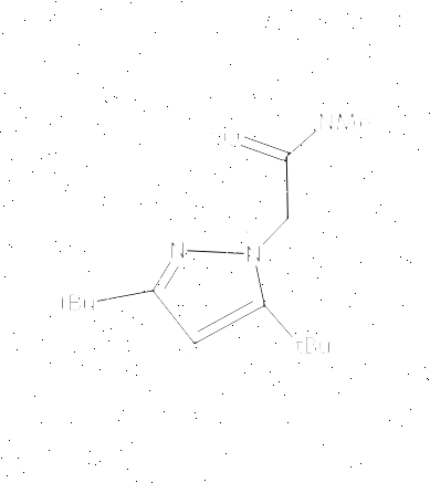 CNC(=O)Cn1nc(C(C)(C)C)cc1C(C)(C)C